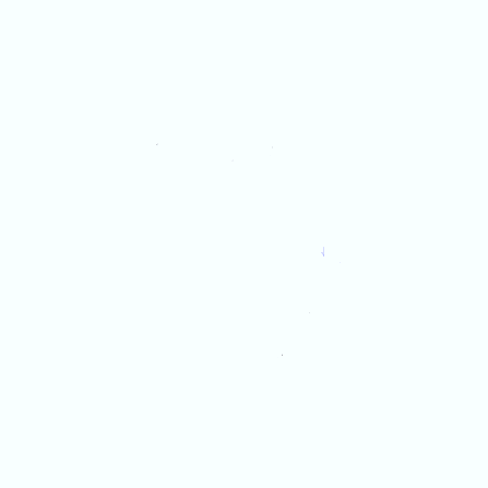 Nc1ccc2ccccc2c1CC1CO1